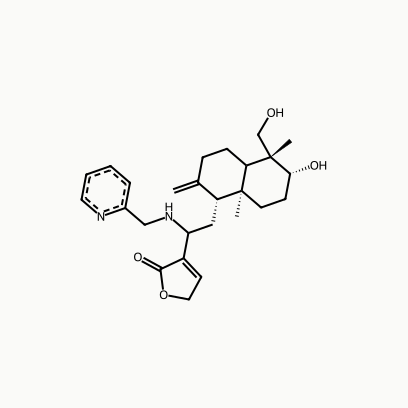 C=C1CCC2[C@](C)(CO)[C@H](O)CC[C@@]2(C)[C@@H]1CC(NCc1ccccn1)C1=CCOC1=O